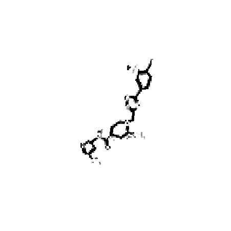 C[C@H]1C[C@@H](C(=O)Nc2cncc(C(F)(F)F)c2)CCN1Cc1noc(-c2ccc(F)c(C(F)(F)F)c2)n1